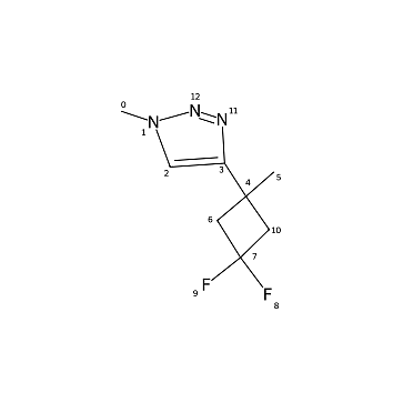 Cn1cc(C2(C)CC(F)(F)C2)nn1